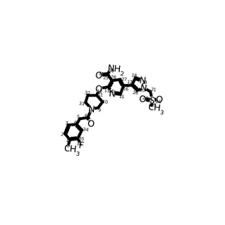 Cc1ccc(CC(=O)N2CCC(Oc3ncc(-c4cnn(CS(C)(=O)=O)c4)cc3C(N)=O)CC2)cc1F